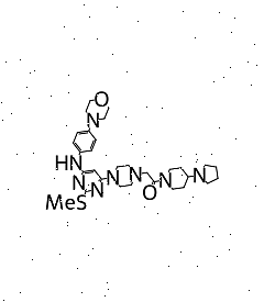 CSc1nc(Nc2ccc(N3CCOCC3)cc2)cc(N2CCN(CC(=O)N3CCC(N4CCCC4)CC3)CC2)n1